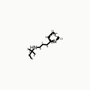 CCC(C)(C)NCCCc1ccccn1